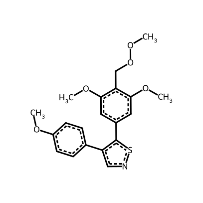 COOCc1c(OC)cc(-c2sncc2-c2ccc(OC)cc2)cc1OC